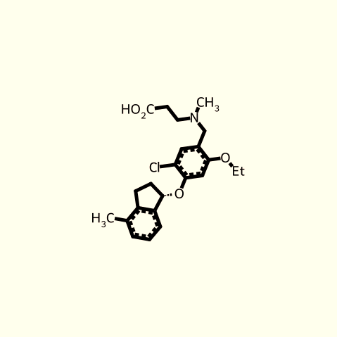 CCOc1cc(O[C@H]2CCc3c(C)cccc32)c(Cl)cc1CN(C)CCC(=O)O